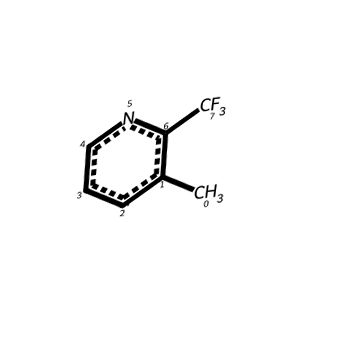 Cc1[c]ccnc1C(F)(F)F